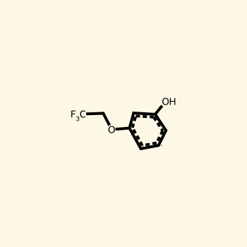 Oc1c[c]cc(OCC(F)(F)F)c1